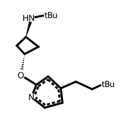 CC(C)(C)CCc1ccnc(O[C@H]2C[C@H](NC(C)(C)C)C2)c1